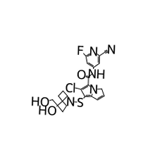 N#Cc1cc(NC(=O)c2c(Cl)c(SN3C4CCC45C3CC5(O)CO)c3n2CC=C3)cc(F)n1